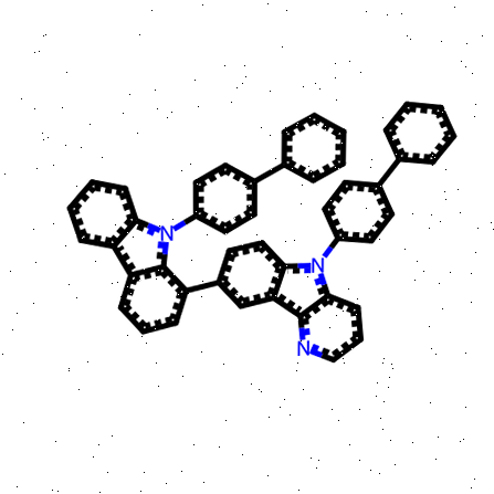 c1ccc(-c2ccc(-n3c4ccc(-c5cccc6c7ccccc7n(-c7ccc(-c8ccccc8)cc7)c56)cc4c4ncccc43)cc2)cc1